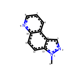 Cn1ncc2c3cccnc3ccc21